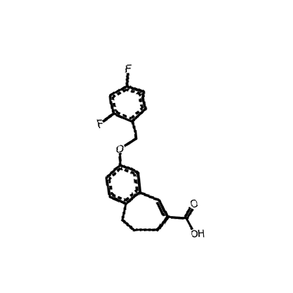 O=C(O)C1=Cc2cc(OCc3ccc(F)cc3F)ccc2CCC1